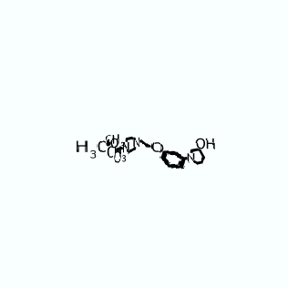 CC(C)(C)OC(=O)N1CCN(CCOc2cccc(N3CCCC(O)C3)c2)CC1